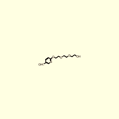 O=Cc1ccc(OCCOCCOCCO)nc1